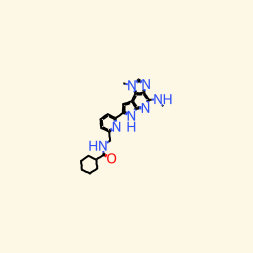 CNc1nc2[nH]c(-c3cccc(CNC(=O)C4CCCCC4)n3)cc2c2c1ncn2C